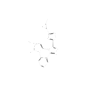 CC1CC1c1noc(-c2nnc3n2C2=CN(C#N)C(Cl)N2c2ccccc2-3)n1